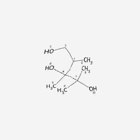 CC(CO)C(C)(O)C(C)(C)O